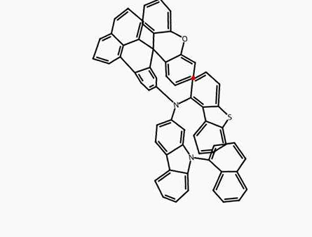 c1ccc2c(c1)Oc1ccccc1C21c2cc(N(c3ccc4c5ccccc5n(-c5cccc6ccccc56)c4c3)c3cccc4sc5ccccc5c34)ccc2-c2cccc3cccc1c23